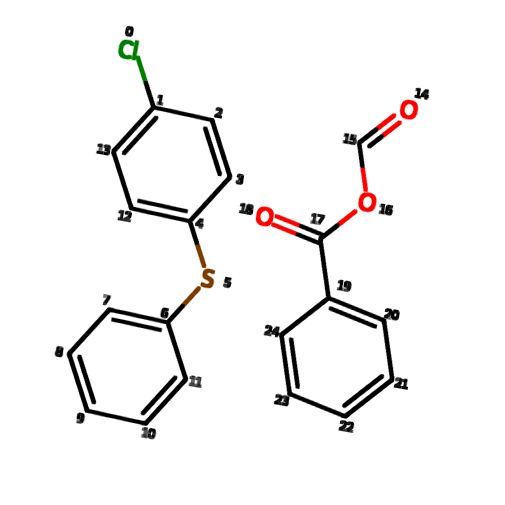 Clc1ccc(Sc2ccccc2)cc1.O=COC(=O)c1ccccc1